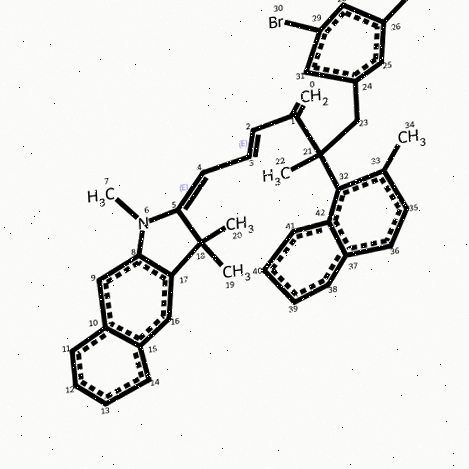 C=C(/C=C/C=C1/N(C)c2cc3ccccc3cc2C1(C)C)C(C)(Cc1cc(F)cc(Br)c1)c1c(C)ccc2ccccc12